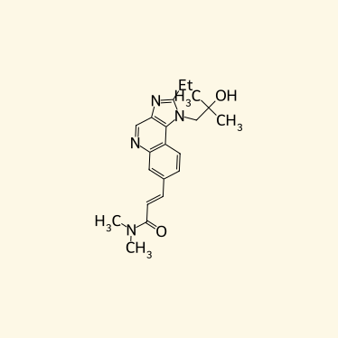 CCc1nc2cnc3cc(C=CC(=O)N(C)C)ccc3c2n1CC(C)(C)O